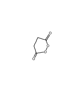 O=C1CCC(=O)OO1